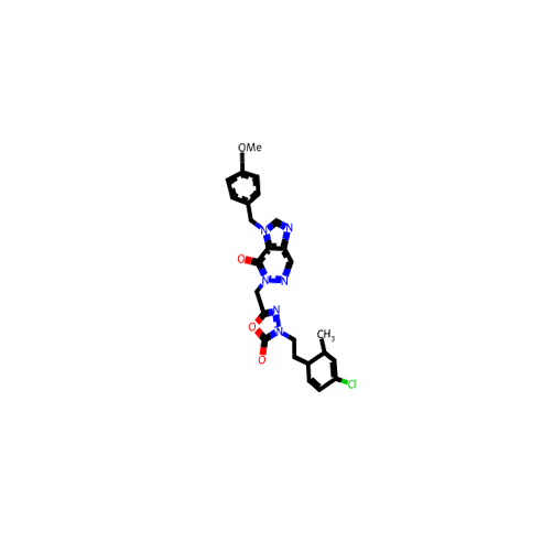 COc1ccc(Cn2cnc3cnn(Cc4nn(CCC5C=CC(Cl)=CC5C)c(=O)o4)c(=O)c32)cc1